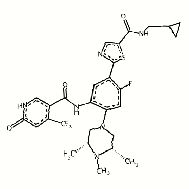 C[C@@H]1CN(c2cc(F)c(-c3ncc(C(=O)NCC4CC4)s3)cc2NC(=O)c2c[nH]c(=O)cc2C(F)(F)F)C[C@H](C)N1C